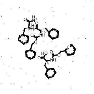 NC(=O)[C@H](Cc1ccccc1)NC(=O)[C@H](Cc1ccccc1)NC(=O)OCc1ccccc1.O=C(N[C@@H](Cc1ccccc1)C(=O)O)OCc1ccccc1